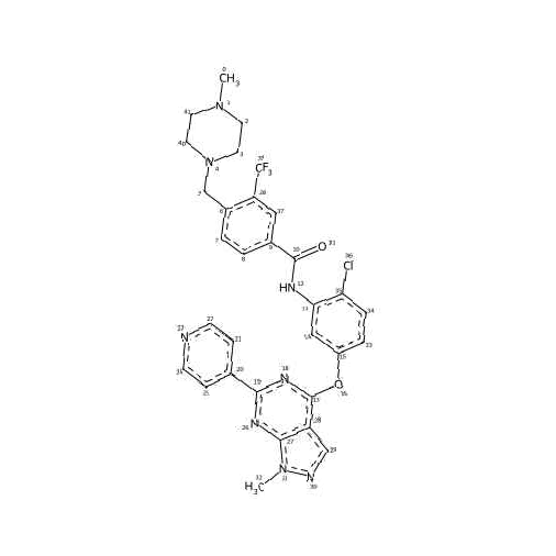 CN1CCN(Cc2ccc(C(=O)Nc3cc(Oc4nc(-c5ccncc5)nc5c4cnn5C)ccc3Cl)cc2C(F)(F)F)CC1